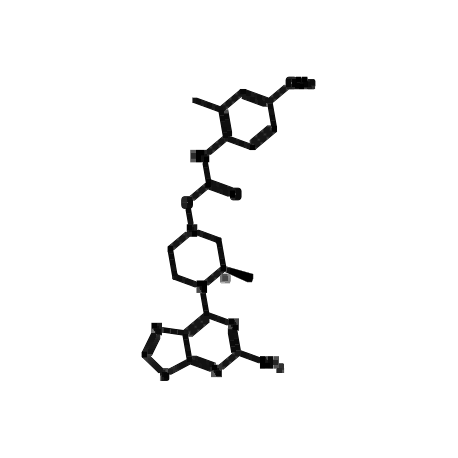 COc1ccc(NC(=O)ON2CCN(c3nc(N)nc4scnc34)[C@H](C)C2)c(C)c1